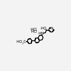 Cl.Cl.O=C(O)c1ccc(-c2ccc3c(c2)C[C@@H](NC[C@@H](O)c2cccnc2)CC3)cc1